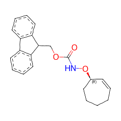 O=C(NO[C@H]1C=CCCCC1)OCC1c2ccccc2-c2ccccc21